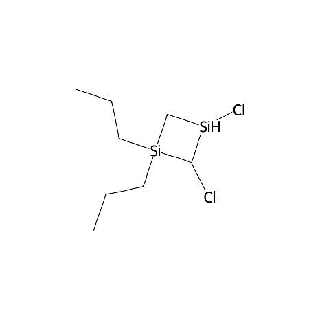 CCC[Si]1(CCC)C[SiH](Cl)C1Cl